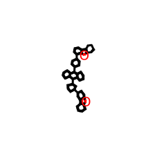 C1=Cc2oc3c(-c4ccc(-c5c6ccccc6c(-c6cccc(-c7ccc8oc9ccccc9c8c7)c6)c6ccccc56)cc4)cccc3c2CC1